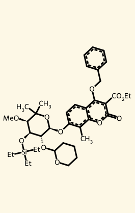 CCOC(=O)c1c(OCc2ccccc2)c2ccc(O[C@@H]3OC(C)(C)[C@H](OC)[C@H](O[Si](CC)(CC)CC)[C@H]3OC3CCCCO3)c(C)c2oc1=O